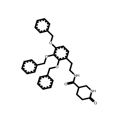 O=C1CCC(C(=O)NCCc2ccc(OCc3ccccc3)c(OCc3ccccc3)c2OCc2ccccc2)CN1